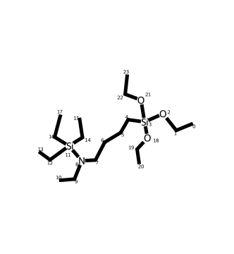 CCO[Si](CCCCN(CC)[Si](CC)(CC)CC)(OCC)OCC